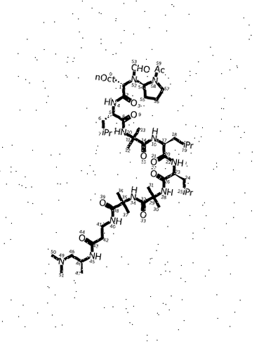 CCCCCCCC[C@@H](C(=O)N[C@@H](CC(C)C)C(=O)NC(C)(C)C(=O)N[C@@H](CC(C)C)C(=O)N[C@@H](CC(C)C)C(=O)NC(C)(C)C(=O)NC(C)(C)C(=O)NCCC(=O)N[C@@H](C)CN(C)C)N(C=O)[C@@H]1CCCN1C(C)=O